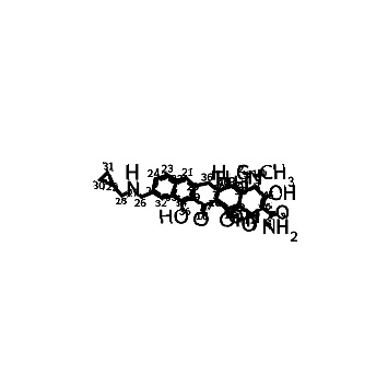 CN(C)[C@@H]1C(O)=C(C(N)=O)C(=O)[C@@]2(O)C(O)=C3C(=O)c4c(cc5ccc(CNCC6CC6)cc5c4O)C[C@H]3C[C@@H]12